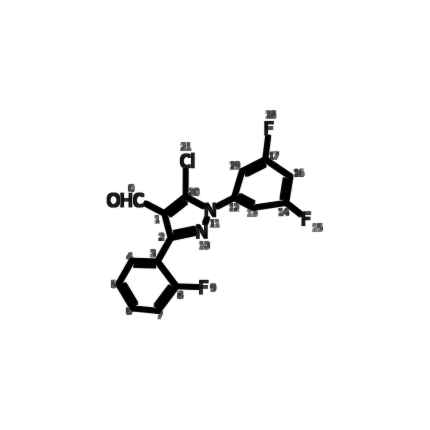 O=Cc1c(-c2ccccc2F)nn(-c2cc(F)cc(F)c2)c1Cl